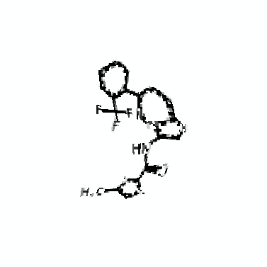 Cc1cnc(C(=O)Nc2cnc3ccc(-c4ccccc4C(F)(F)F)nn23)s1